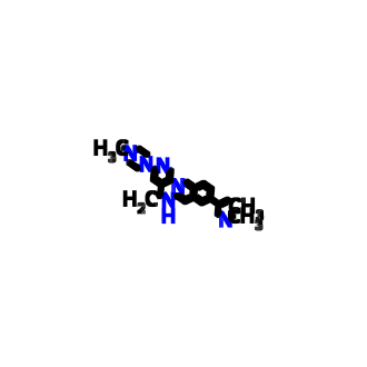 C=C(Nc1cc2cc(C(/C=N\C)=C/C)ccc2cn1)c1ccnc(N2CCN(C)CC2)c1